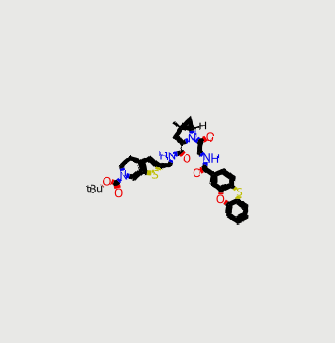 CC(C)(C)OC(=O)N1CCc2cc(CNC(=O)[C@@H]3C[C@]4(C)C[C@@H]4N3C(=O)CNC(=O)c3ccc4c(c3)Oc3ccccc3S4)sc2C1